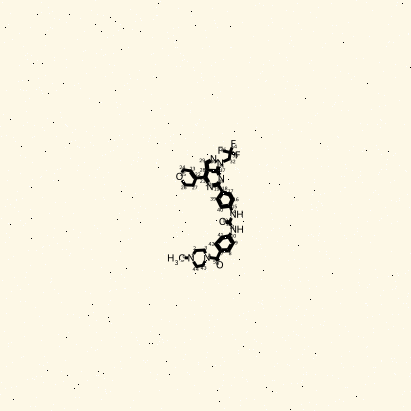 CN1CCN(C(=O)c2ccc(NC(=O)Nc3ccc(-c4nc(C5=CCOCC5)c5cnn(CC(F)(F)F)c5n4)cc3)cc2)CC1